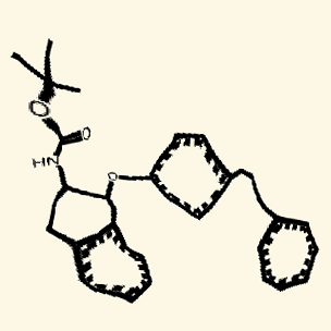 CC(C)(C)OC(=O)NC1Cc2ccccc2C1Oc1ccc(Cc2ccccc2)cc1